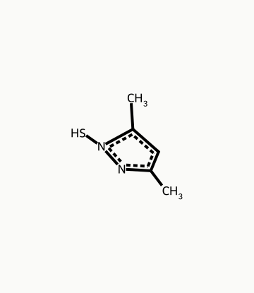 Cc1cc(C)n(S)n1